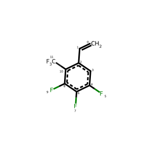 C=Cc1cc(F)c(F)c(F)c1C(F)(F)F